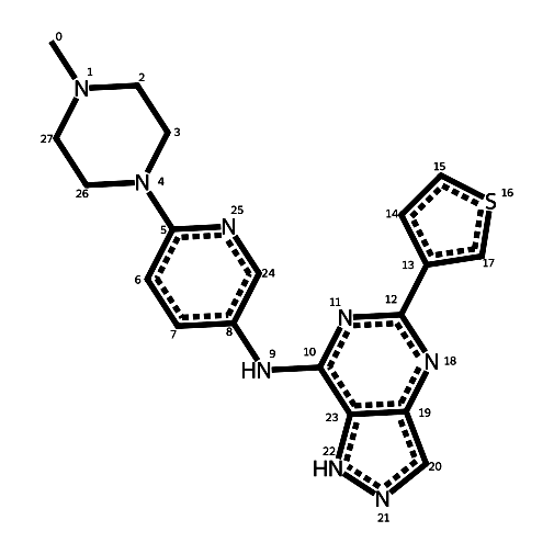 CN1CCN(c2ccc(Nc3nc(-c4ccsc4)nc4cn[nH]c34)cn2)CC1